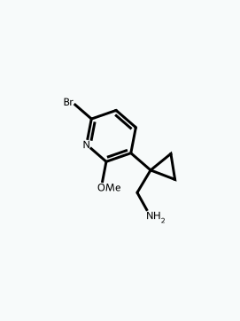 COc1nc(Br)ccc1C1(CN)CC1